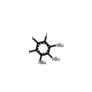 CCCCc1c(I)c(I)c(I)c(CCCC)c1CCCC